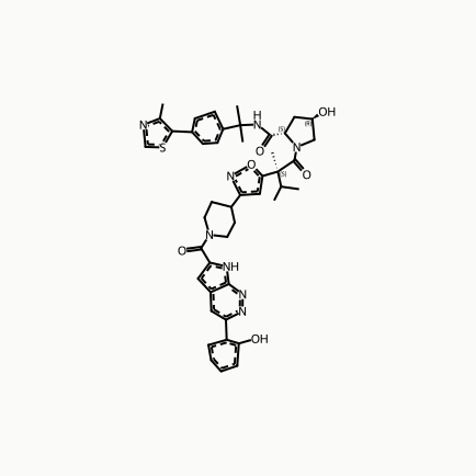 Cc1ncsc1-c1ccc(C(C)(C)NC(=O)[C@@H]2C[C@@H](O)CN2C(=O)[C@](C)(c2cc(C3CCN(C(=O)c4cc5cc(-c6ccccc6O)nnc5[nH]4)CC3)no2)C(C)C)cc1